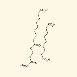 CCCCCCCC(=O)OCOC(=O)CCCCCCCC(=O)O.O=C(O)CCCCCCCC(=O)O